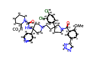 COc1ccc(C2C=NN=N2)cc1C(=O)N1CCC(CCN2CCC(NC(=O)N3CCCCC3C(=O)O)(c3ccncc3)CC2)(c2ccc(Cl)c(Cl)c2)C1